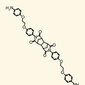 Nc1ccc(OCCOc2ccc(N3C(=O)C4CC(C3=O)C3C5CC(C(=O)N(c6ccc(OCCOc7ccc(N)cc7)cc6)C5=O)C43)cc2)cc1